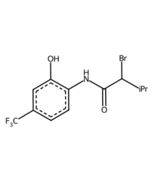 CC(C)C(Br)C(=O)Nc1ccc(C(F)(F)F)cc1O